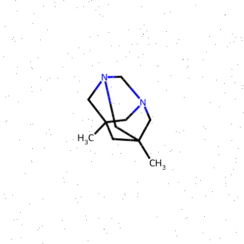 CC12CN3CN(C1)CC(C)(C3)C2